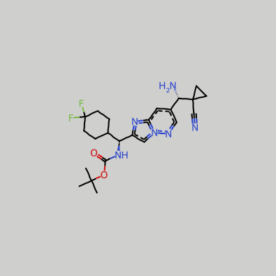 CC(C)(C)OC(=O)N[C@H](c1cn2ncc([C@H](N)C3(C#N)CC3)cc2n1)C1CCC(F)(F)CC1